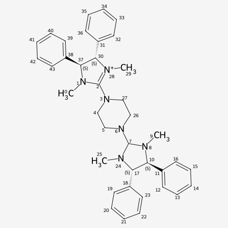 CN1C(N2CCN(C3N(C)[C@@H](c4ccccc4)[C@H](c4ccccc4)N3C)CC2)=[N+](C)[C@@H](c2ccccc2)[C@@H]1c1ccccc1